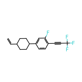 C=CC1CCC(c2ccc(C#CC(F)(F)F)c(F)c2)CC1